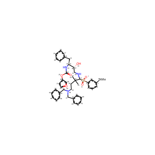 CNc1cccc(S(=O)(=O)C(NC[C@@H](O)[C@H](Cc2ccccc2)NC(=O)Oc2ccoc2)C(C)(C)CCN(Cc2ccccc2)Cc2ccccc2)c1